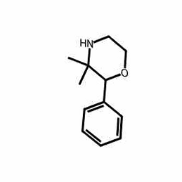 CC1(C)NCCOC1c1ccccc1